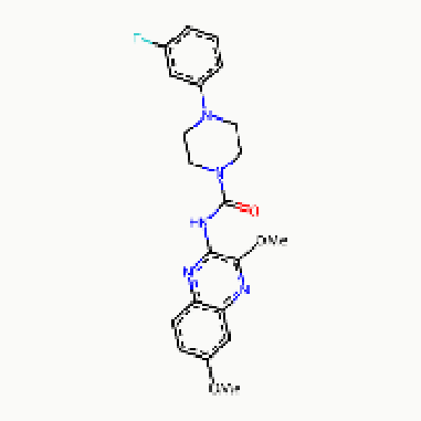 COc1ccc2nc(NC(=O)N3CCN(c4cccc(F)c4)CC3)c(OC)nc2c1